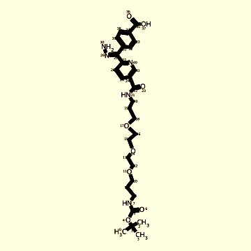 CC(C)(C)OC(=O)NCCCOCCOCCOCCCNC(=O)c1ccc(C(=NN)c2ccc(C(=O)O)cc2)nc1